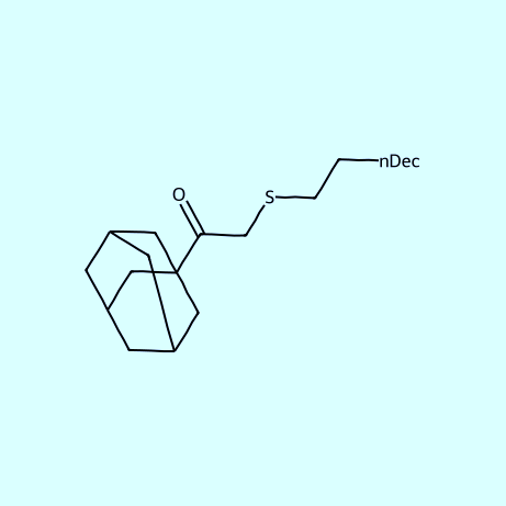 CCCCCCCCCCCCSCC(=O)C12CC3CC(CC(C3)C1)C2